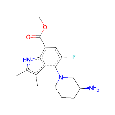 COC(=O)c1cc(F)c(N2CCC[C@H](N)C2)c2c(C)c(C)[nH]c12